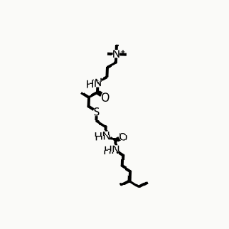 CCC(C)CCCNC(=O)NCCSCC(C)C(=O)NCCC[N+](C)(C)C